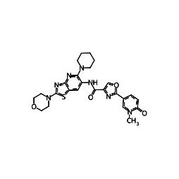 Cn1cc(-c2nc(C(=O)Nc3cc4sc(N5CCOCC5)nc4nc3N3CCCCC3)co2)ccc1=O